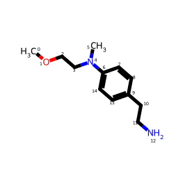 COCCN(C)c1ccc(CCN)cc1